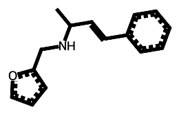 CC(C=Cc1ccccc1)NCc1ccco1